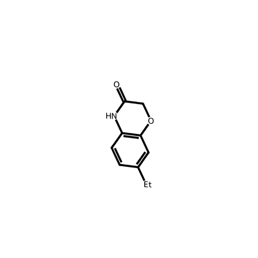 CCc1ccc2c(c1)OCC(=O)N2